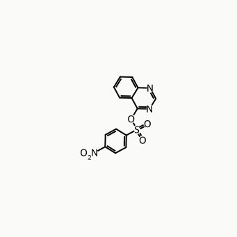 O=[N+]([O-])c1ccc(S(=O)(=O)Oc2ncnc3ccccc23)cc1